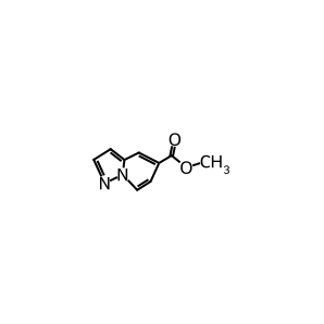 COC(=O)c1ccn2nccc2c1